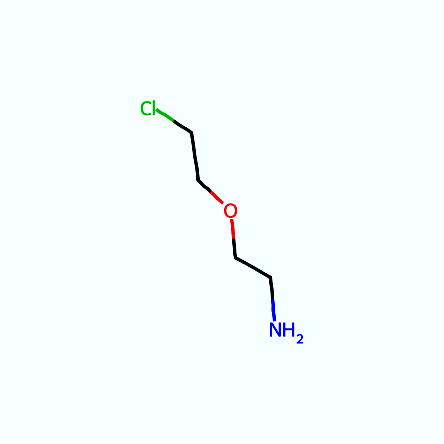 NCCOCCCl